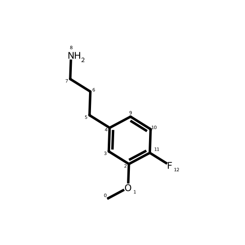 COc1cc(CCCN)ccc1F